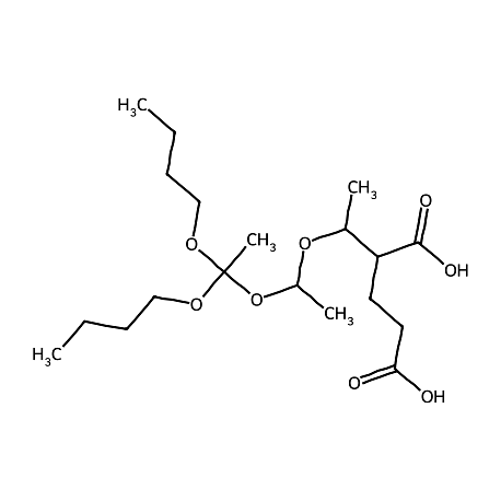 CCCCOC(C)(OCCCC)OC(C)OC(C)C(CCC(=O)O)C(=O)O